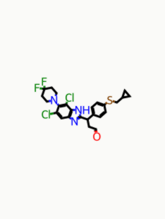 O=CCC(c1ccc(SCC2CC2)cc1)c1nc2cc(Cl)c(N3CCC(F)(F)CC3)c(Cl)c2[nH]1